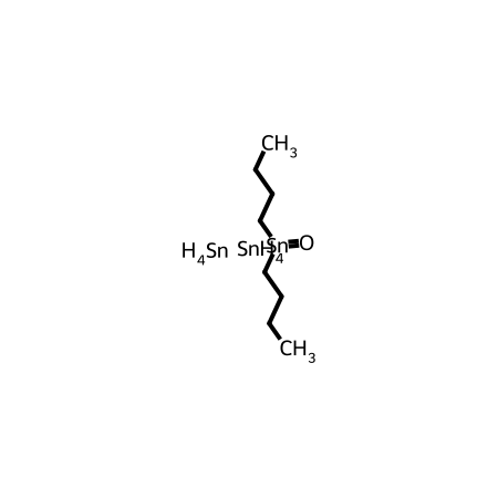 CCC[CH2][Sn](=[O])[CH2]CCC.[SnH4].[SnH4]